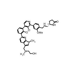 COc1cc(-c2nccc(-c3cccc(-c4ccc5c(CN(C)CCO)cn(C)c5n4)c3Cl)c2Cl)ccc1CNC[C@@H]1CCC(=O)N1